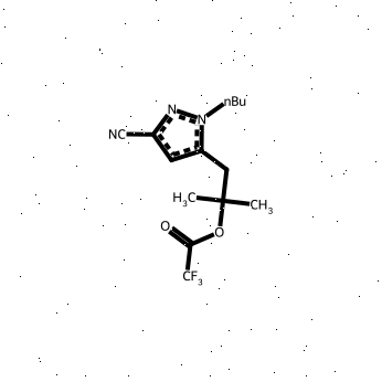 CCCCn1nc(C#N)cc1CC(C)(C)OC(=O)C(F)(F)F